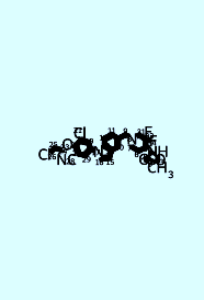 CS(=O)(=O)NC1CCN(Cc2ccc3c(ccn3-c3cc(Cl)c(OCCCl)c(C#N)c3)c2)CC1(F)F